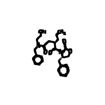 C=CC[C@H](CC(=O)N(CCO)Cc1ccccc1)C(=O)N1C(=O)OC[C@@H]1Cc1ccccc1